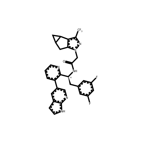 O=C(Cn1nc(C(F)(F)F)c2c1CC1CC21)N[C@@H](Cc1cc(F)cc(F)c1)c1ncccc1-c1cnc2[nH]ccc2c1